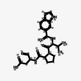 C=C(N[C@H](C(=O)N1CCCC1C(=O)NC(C=O)CC(=O)O)C(C)C)c1ccc2nc[nH]c2c1